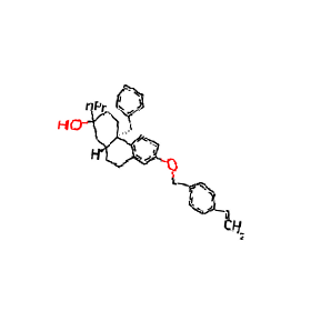 C=Cc1ccc(COc2ccc3c(c2)CC[C@@H]2CC(O)(CCC)CC[C@@]32Cc2ccccc2)cc1